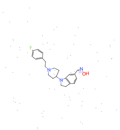 O/N=C\c1ccc2c(c1)N(C1CCN(CCc3ccc(F)cc3)CC1)CC2